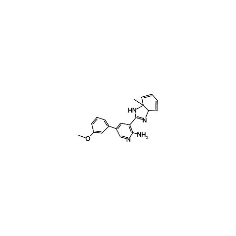 COc1cccc(-c2cnc(N)c(C3=NC4C=CC=CC4(C)N3)c2)c1